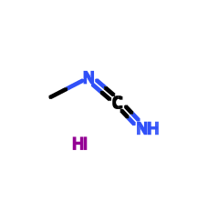 CN=C=N.I